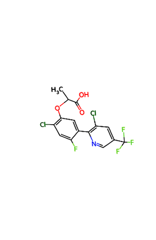 CC(Oc1cc(-c2ncc(C(F)(F)F)cc2Cl)c(F)cc1Cl)C(=O)O